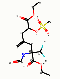 C=C(CC(OS(C)(=O)=O)C(=O)OCC)CC(NC=O)(C(=O)OCC)C(F)F